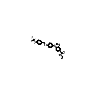 CCNC(=O)c1ccc2c(c1)ncn2-c1ccc(OCc2ccc(SC(F)(F)F)cc2)cc1